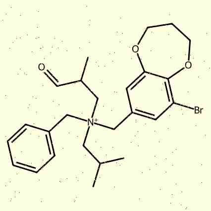 CC(C)C[N+](Cc1ccccc1)(Cc1cc(Br)c2c(c1)OCCCO2)CC(C)C=O